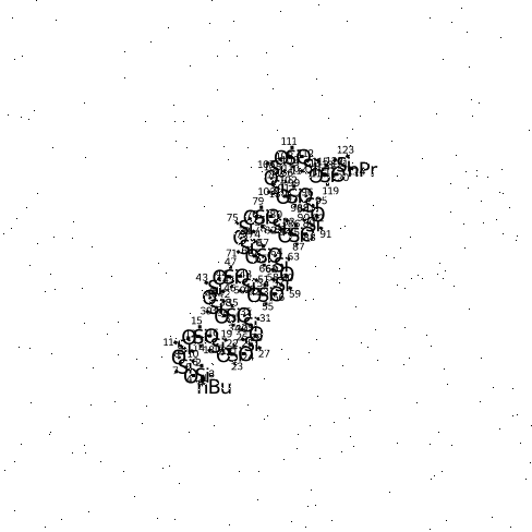 CCCC[Si](C)(C)O[Si](C)(C)O[Si](C)(C)O[Si](C)(C)O[Si](C)(C)O[Si](C)(C)O[Si](C)(C)O[Si](C)(C)O[Si](C)(C)O[Si](C)(C)O[Si](C)(C)O[Si](C)(C)O[Si](C)(C)O[Si](C)(C)O[Si](C)(C)O[Si](C)(C)O[Si](C)(C)O[Si](C)(C)O[Si](C)(C)O[Si](C)(C)O[Si](C)(C)O[Si](C)(C)O[Si](C)(C)O[Si](C)(C)O[Si](C)(C)O[Si](C)(C)O[Si](C)(C)O[Si](C)(C)O[Si](C)(C)O[Si](C)(C)O[Si](C)(C)CCC